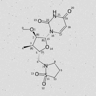 CO[C@@H]1[C@H](C)[C@@H](CN2CCCS2(=O)=O)O[C@H]1n1ccc(=O)[nH]c1=O